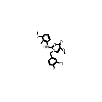 COc1cn(Cc2ccc(F)c(Cl)c2)c(Nc2cccc(SC)c2C)nc1=O